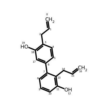 C=CCc1ccc(-c2cccc(O)c2CC=C)cc1O